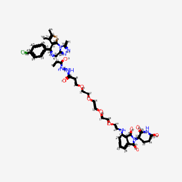 C=C(C(=O)NNC(=O)CCOCCOCCOCCOCCNc1cccc2c1C(=O)N(C1CCC(=O)NC1=O)C2=O)[C@@H]1N=C(c2ccc(Cl)cc2)c2c(sc(C)c2C)-n2c(C)nnc21